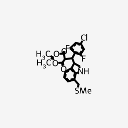 CSCc1cccc2c1NCC2C(c1c(F)cc(Cl)cc1F)C1C(=O)OC(C)(C)OC1=O